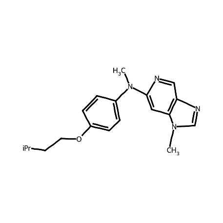 CC(C)CCOc1ccc(N(C)c2cc3c(cn2)ncn3C)cc1